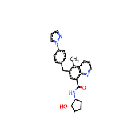 Cc1c(Cc2ccc(-n3cccn3)cc2)cc(C(=O)N[C@H]2CCC[C@@H]2O)c2ncccc12